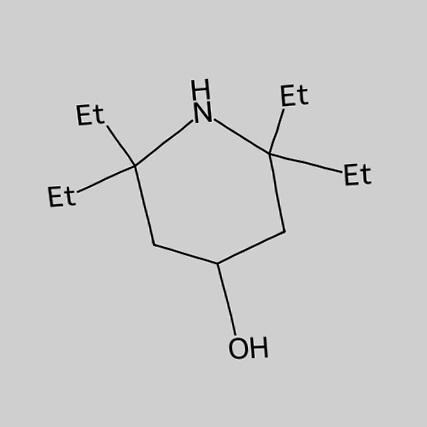 CCC1(CC)CC(O)CC(CC)(CC)N1